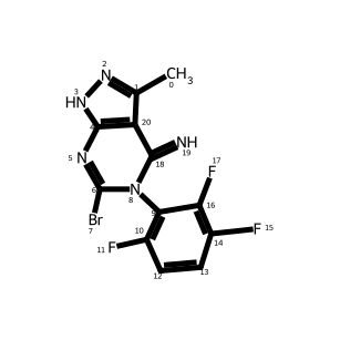 Cc1n[nH]c2nc(Br)n(-c3c(F)ccc(F)c3F)c(=N)c12